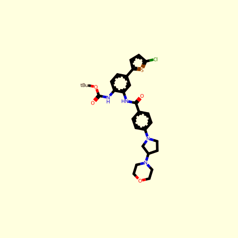 CC(C)(C)OC(=O)Nc1ccc(-c2ccc(Cl)s2)cc1NC(=O)c1ccc(N2CCC(N3CCOCC3)C2)cc1